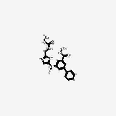 CCCCOC(=O)c1cc(-c2ccccc2)cc([S+]([O-])c2cnc(CNC(=O)OC(C)(C)C)s2)c1